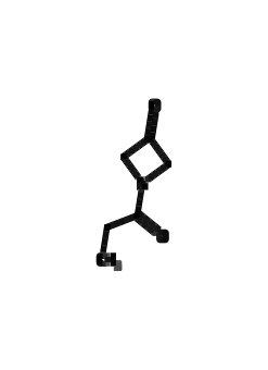 CCC(=O)N1CC(=O)C1